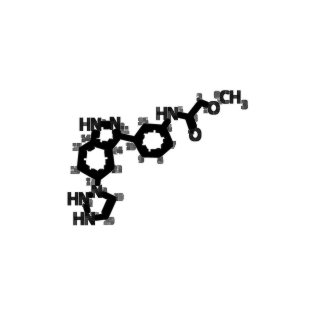 COCC(=O)Nc1cccc(-c2n[nH]c3ccc(N4C=CNN4)cc23)c1